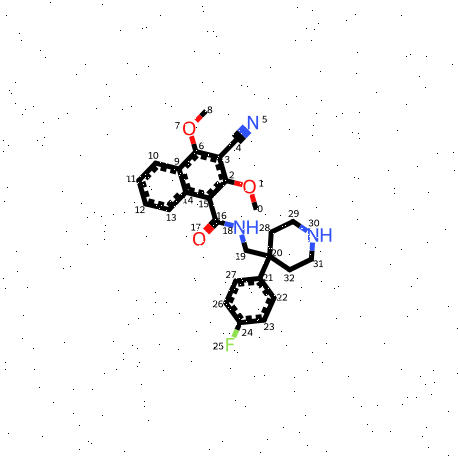 COc1c(C#N)c(OC)c2ccccc2c1C(=O)NCC1(c2ccc(F)cc2)CCNCC1